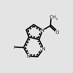 CC(=O)n1ccc2c(I)ncnc21